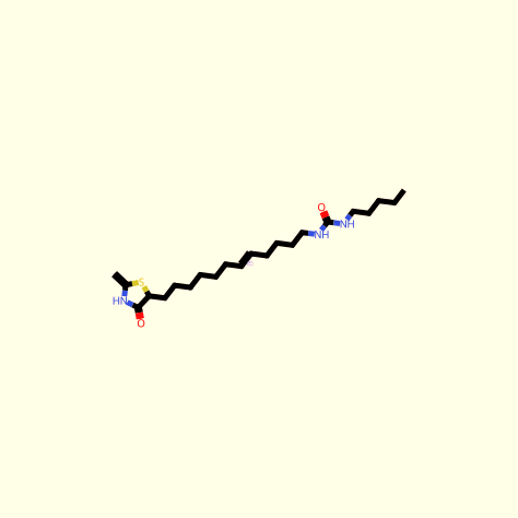 C=C1NC(=O)C(CCCCCC/C=C/CCCCNC(=O)NCCCCC)S1